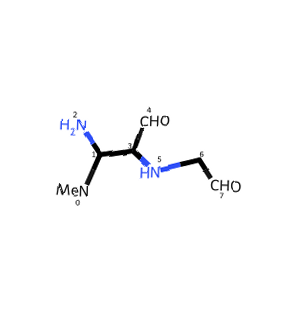 CNC(N)C(C=O)NCC=O